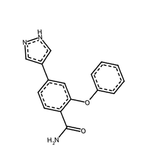 NC(=O)c1ccc(-c2cn[nH]c2)cc1Oc1ccccc1